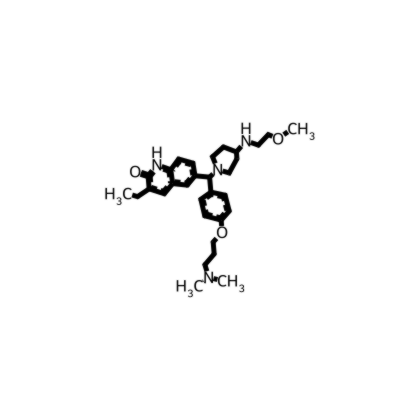 CCc1cc2cc(C(c3ccc(OCCCN(C)C)cc3)N3CCC(NCCOC)CC3)ccc2[nH]c1=O